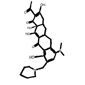 CC(=O)C1=C(O)CC2CC3Cc4c(N(C)C)cc(CN5CCCCC5)c(O)c4C(=O)C3=C(O)[C@]2(O)C1=O